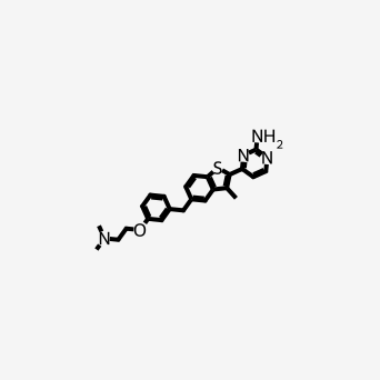 Cc1c(-c2ccnc(N)n2)sc2ccc(Cc3cccc(OCCN(C)C)c3)cc12